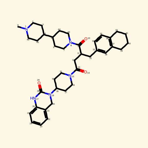 CN1CCC(C2CCN(C(=O)C(CC(=O)N3CCC(N4Cc5ccccc5NC4=O)CC3)Cc3ccc4c(c3)CCCC4)CC2)CC1